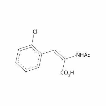 CC(=O)NC(=Cc1ccccc1Cl)C(=O)O